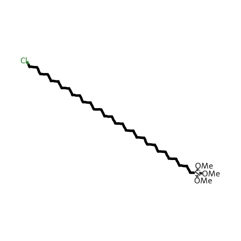 CO[Si](CCCCCCCCCCCCCCCCCCCCCCCCCCCCCCCCl)(OC)OC